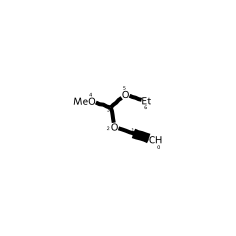 C#COC(OC)OCC